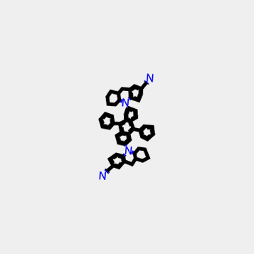 N#Cc1ccc2c(c1)CC1CCCCC1N2c1ccc2c(-c3ccccc3)c3cc(N4c5ccc(C#N)cc5CC5CCCCC54)ccc3c(-c3ccccc3)c2c1